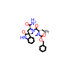 CC(C)C[C@@H](C(=O)N1C[C@]2(C[C@H]1C(N)=O)C(=O)Nc1ccccc12)N(C)C(=O)OCc1ccccc1